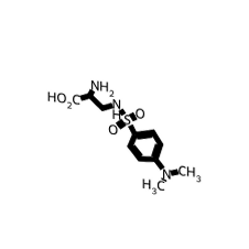 CN(C)c1ccc(S(=O)(=O)NCC(N)C(=O)O)cc1